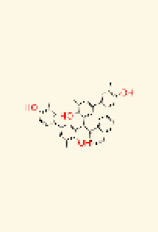 Cc1cc(-c2cc(C)c(O)c(C(c3cc(-c4ccc(O)c(C)c4)cc(C)c3O)c3cccc4ccccc34)c2)ccc1O